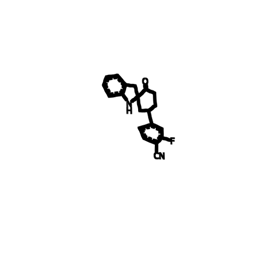 N#Cc1ccc(C2CCC(=O)C3(Cc4ccccc4N3)C2)cc1F